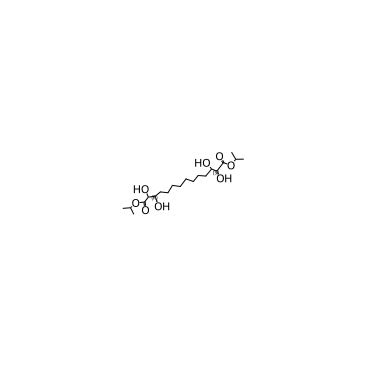 CC(C)OC(=O)C(O)[C@H](O)CCCCCCCCC(O)[C@H](O)C(=O)OC(C)C